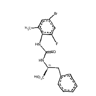 Cc1cc(Br)cc(F)c1NC(=O)N[C@@H](Cc1ccccc1)C(=O)O